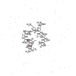 CC[C@H](C)[C@H](NC(=O)[C@H](CO)NC(=O)[C@H](CO)NC(=O)[C@H](CC(C)C)NC(=O)[C@H](CCCNC(=N)N)NC(=O)[C@H](CCCCN)NC(=O)CNC(=O)[C@H](CS)NC(=O)[C@@H](NC(=O)[C@H](CO)NC(=O)[C@H](CCC(=O)O)NC(=O)[C@@H](NC(=O)[C@H](C)NC(=O)[C@H](CCSC)NC(=O)[C@H](C)N)[C@@H](C)CC)C(C)C)C(=O)O